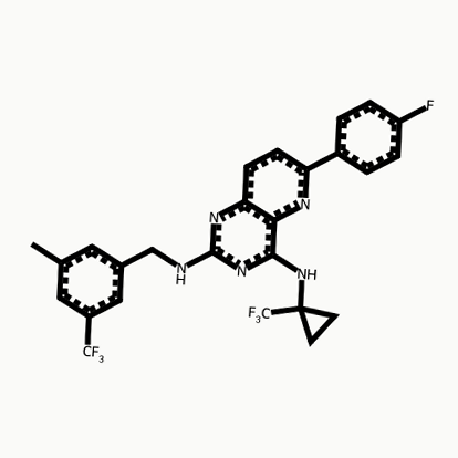 Cc1cc(CNc2nc(NC3(C(F)(F)F)CC3)c3nc(-c4ccc(F)cc4)ccc3n2)cc(C(F)(F)F)c1